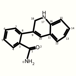 NC(=O)c1ccccc1C1=Cc2ccccc2NC1